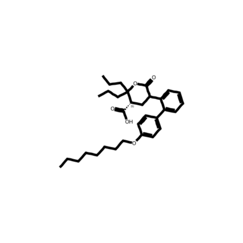 CCCCCCCCOc1ccc(-c2ccccc2C2C[C@H](C(=O)O)C(CCC)(CCC)OC2=O)cc1